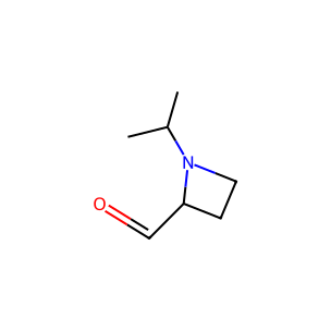 CC(C)N1CCC1C=O